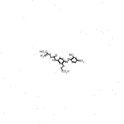 N#Cc1cc([N+](=O)[O-])ccc1/N=N/c1ccc(NC(=O)CCC(N)C(=O)O)cc1CCC(=O)O